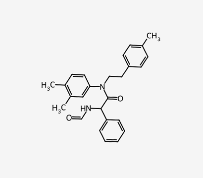 Cc1ccc(CCN(C(=O)C(NC=O)c2ccccc2)c2ccc(C)c(C)c2)cc1